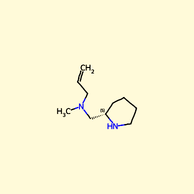 C=CCN(C)C[C@@H]1CCCCN1